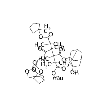 CCCCOC(=O)C(C)(C)C(C)(C(=O)OC12CC3CC(CC(O)(C3)C1)C2)C(C)(C(=O)OCC(=O)OC1C2CC3C(=O)OC1C3C2)C(C)(C)C(=O)OC1(C)CCCC1